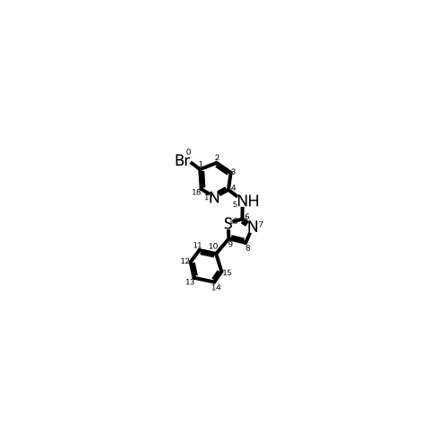 Brc1ccc(Nc2ncc(-c3ccccc3)s2)nc1